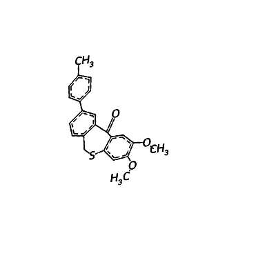 COc1cc2c(cc1OC)C(=O)c1cc(-c3ccc(C)cc3)ccc1CS2